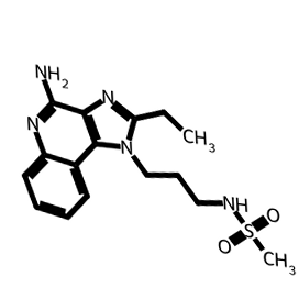 CCc1nc2c(N)nc3ccccc3c2n1CCCNS(C)(=O)=O